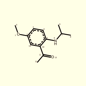 COc1ccc(NC(C)C)c(C(C)=O)c1